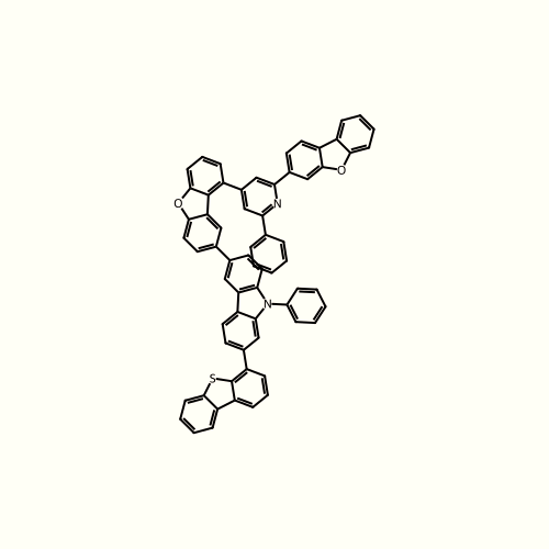 c1ccc(-c2cc(-c3cccc4oc5ccc(-c6ccc7c(c6)c6ccc(-c8cccc9c8sc8ccccc89)cc6n7-c6ccccc6)cc5c34)cc(-c3ccc4c(c3)oc3ccccc34)n2)cc1